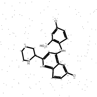 O=C(O)c1cc(Cl)ccc1Nc1cc(C2CSCCN2)nc2ccc(Cl)cc12